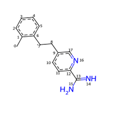 Cc1ccccc1[CH]Cc1ccc(C(=N)N)nc1